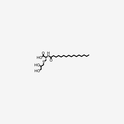 CCCCCCCCCCCCCCCC(=O)N[C@@H](CSCC(O)CO)C(=O)O